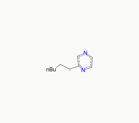 CCCCC[CH]c1cnccn1